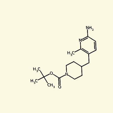 Cc1nc(N)ccc1CC1CCN(C(=O)OC(C)(C)C)CC1